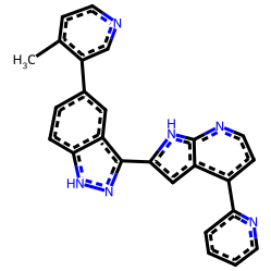 Cc1ccncc1-c1ccc2[nH]nc(-c3cc4c(-c5ccccn5)ccnc4[nH]3)c2c1